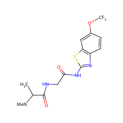 CNC(C)C(=O)NCC(=O)Nc1nc2ccc(OC(F)(F)F)cc2s1